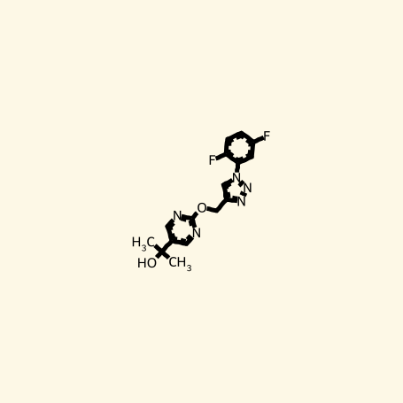 CC(C)(O)c1cnc(OCc2cn(-c3cc(F)ccc3F)nn2)nc1